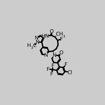 C[C@H]1C(=O)Nc2cnn(C)c2-c2ccnc(c2)[C@@H](N2CCC(c3c(C(F)(F)F)ccc(Cl)c3F)=CC2=O)CCC1F